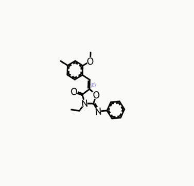 CCN1C(=O)/C(=C\c2ccc(C)cc2OC)OC1=Nc1ccccc1